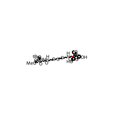 C=C(CC(=O)NCCCOCCOCCOCCCNC(=O)CC[C@H](NC(=O)OC(C)(C)C)C(=O)NCC(=O)OC)C1=C(/C=C\C)C(=O)OC12c1ccc(O)cc1Oc1cc(O)ccc12